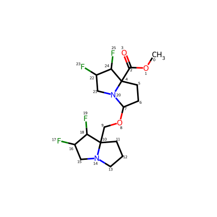 COC(=O)C12CCC(OCC34CCCN3CC(F)C4F)N1CC(F)C2F